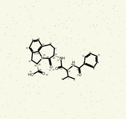 CC(C)[C@H](NC(=O)c1ccccc1)C(=O)N[C@H]1CCc2cccc3c2N(C1=O)[C@H](C(=O)O)C3